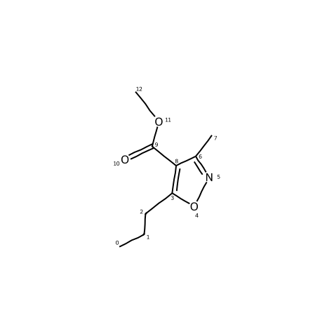 CCCc1onc(C)c1C(=O)OC